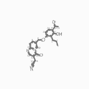 CCCc1c(OCc2ccc3ncc(CC#N)c(=O)n3c2)ccc(C(C)=O)c1O